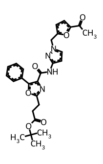 CC(=O)c1ccc(Cn2ccc(NC(=O)c3nc(CCC(=O)OC(C)(C)C)oc3-c3ccccc3)n2)o1